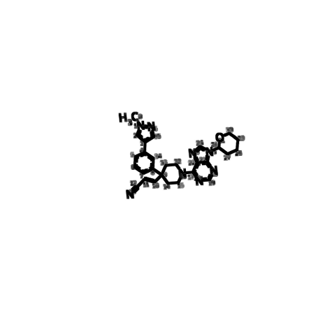 Cn1cc(-c2cccc(C3(/C=C/C#N)CCN(c4ncnc5c4ncn5C4CCCCO4)CC3)c2)cn1